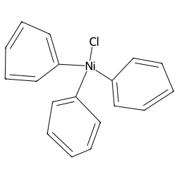 [Cl][Ni]([c]1ccccc1)([c]1ccccc1)[c]1ccccc1